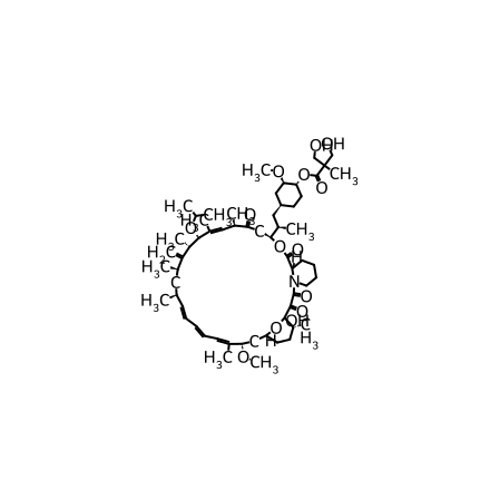 C=C1[C@H](C)C[C@H](C)/C=C/C=C/C=C(\C)[C@@H](OC)C[C@@H]2CC[C@@H](C)[C@@](O)(O2)C(=O)C(=O)N2CCCC[C@H]2C(=O)O[C@H]([C@H](C)C[C@@H]2CC[C@@H](OC(=O)C(C)(CO)CO)[C@H](OC)C2)CC(=O)[C@H](C)/C=C(\C)[C@@H](OC(C)C)[C@H]1C